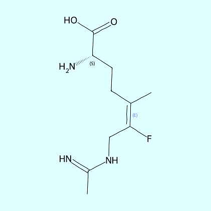 CC(=N)NC/C(F)=C(/C)CC[C@H](N)C(=O)O